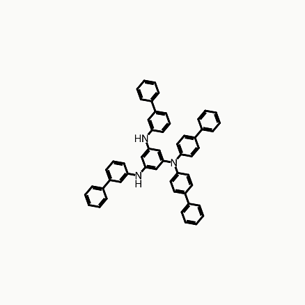 c1ccc(-c2ccc(N(c3ccc(-c4ccccc4)cc3)c3cc(Nc4cccc(-c5ccccc5)c4)cc(Nc4cccc(-c5ccccc5)c4)c3)cc2)cc1